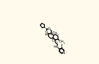 C=C1CCC2[C@]3(C)CO[C@@H](C4CCCC4)O[C@@H]3CC[C@@]2(C)[C@@H]1CCNc1ccncc1F